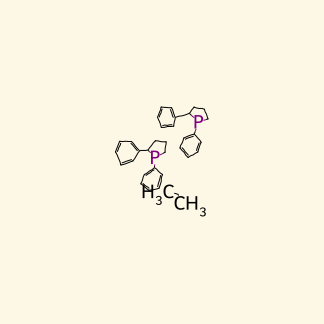 CCC.c1ccc(C2CCCP2c2ccccc2)cc1.c1ccc(C2CCCP2c2ccccc2)cc1